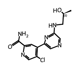 C[C@H](O)CNc1cncc(-c2cc(C(N)=O)ncc2Cl)n1